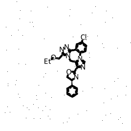 CCOCc1nnc2n1Cc1c(C3=N[C@@H](c4ccccc4)CO3)ncn1-c1ccc(Cl)cc1-2